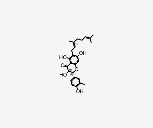 CC(C)=CCC/C(C)=C/Cc1c(O)cc2c(c1O)C(=O)[C@H](O)[C@@H](c1ccc(O)c(C)c1)O2